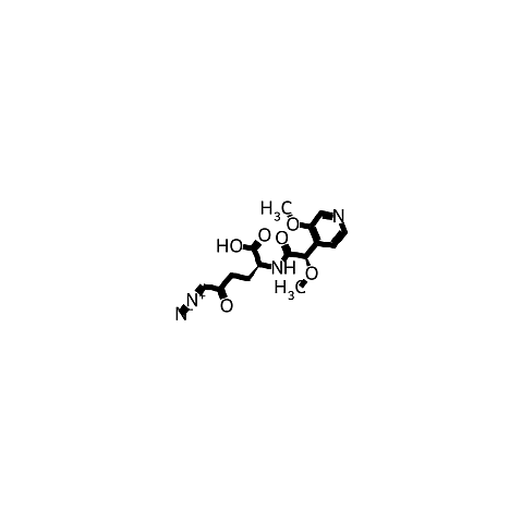 COc1cnccc1[C@@H](OC)C(=O)N[C@@H](CCC(=O)C=[N+]=[N-])C(=O)O